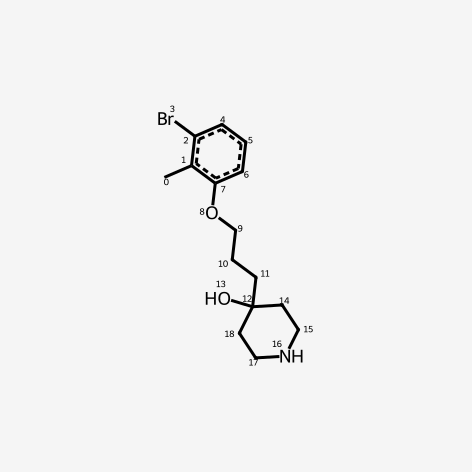 Cc1c(Br)cccc1OCCCC1(O)CCNCC1